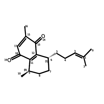 CC(C)=CCC[C@@H]1CC[C@@H](C)C2=C1C(=O)C(C)=CC2=O